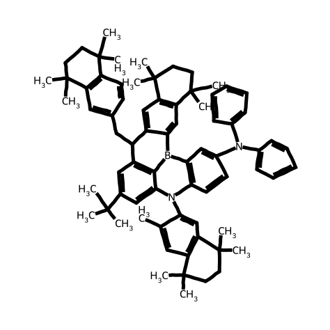 Cc1cc2c(cc1N1c3ccc(N(c4ccccc4)c4ccccc4)cc3B3c4cc5c(cc4C(Cc4ccc6c(c4)C(C)(C)CCC6(C)C)c4cc(C(C)(C)C)cc1c43)C(C)(C)CCC5(C)C)C(C)(C)CCC2(C)C